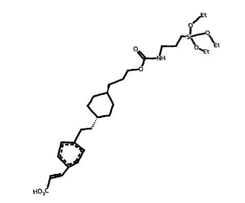 CCO[Si](CCCNC(=O)OCCC[C@H]1CC[C@H](CCc2ccc(/C=C/C(=O)O)cc2)CC1)(OCC)OCC